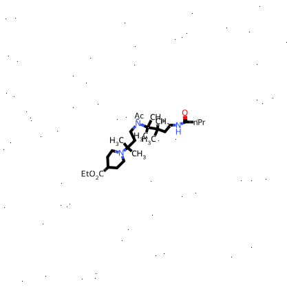 CCCC(=O)NCCC(C)(C)C(C)(C)N(CCC(C)(C)N1CCC(C(=O)OCC)CC1)C(C)=O